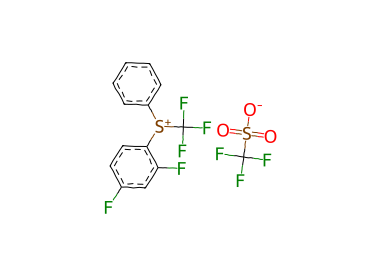 Fc1ccc([S+](c2ccccc2)C(F)(F)F)c(F)c1.O=S(=O)([O-])C(F)(F)F